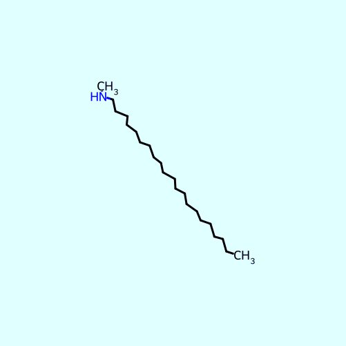 CCCCCCCCCCCCCCCCCCCCCNC